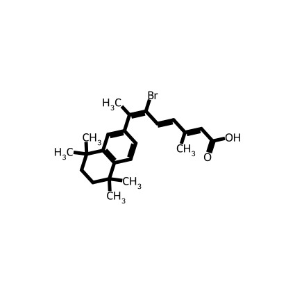 CC(/C=C/C(Br)=C(/C)c1ccc2c(c1)C(C)(C)CCC2(C)C)=C\C(=O)O